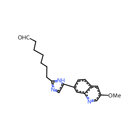 COc1cnc2cc(-c3cnc(CCCCCCC=O)[nH]3)ccc2c1